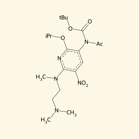 CC(=O)N(C(=O)OC(C)(C)C)c1cc([N+](=O)[O-])c(N(C)CCN(C)C)nc1OC(C)C